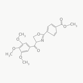 COC(=O)c1ccc(C2=NC(C(=O)c3cc(OC)c(OC)c(OC)c3)CO2)cc1